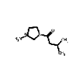 CC(C)CC(=O)N1CC[C@H](N)C1